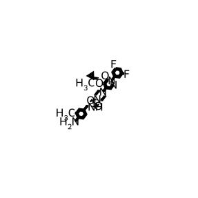 Cc1cc(CNS(=O)(=O)N2CCN(c3cnn(-c4cc(F)cc(F)c4)c(=O)c3OCC3(C)CC3)CC2)ccc1N